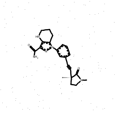 CN1CC[C@@](C)(C#Cc2cccc(-n3nc(C(N)=O)c4c3CCCN4)c2)C1=O